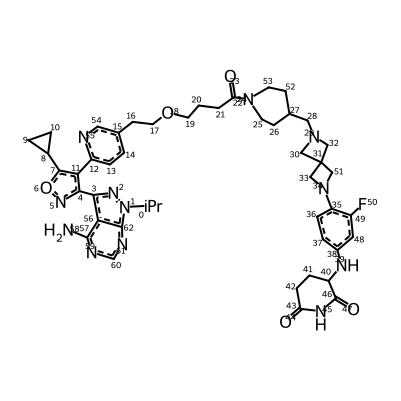 CC(C)n1nc(-c2noc(C3CC3)c2-c2ccc(CCOCCCC(=O)N3CCC(CN4CC5(C4)CN(c4ccc(NC6CCC(=O)NC6=O)cc4F)C5)CC3)cn2)c2c(N)ncnc21